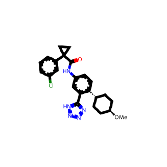 CO[C@H]1CC[C@H](c2ccc(NC(=O)C3(c4cccc(Cl)c4)CC3)cc2-c2nnn[nH]2)CC1